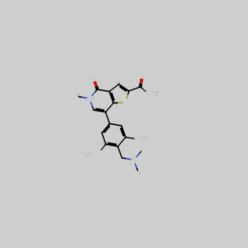 COC(=O)c1cc2c(=O)n(C)cc(-c3cc(OC)c(CN(C)C)c(OC)c3)c2s1